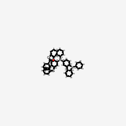 c1ccc(-c2nc3c(ccc4cccc(N(c5ccc6c(c5)sc5ccccc56)c5ccc6c(c5)c5ccccc5n6-c5ccccc5)c43)o2)cc1